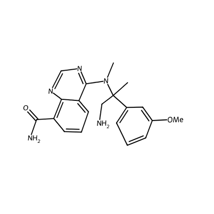 COc1cccc(C(C)(CN)N(C)c2ncnc3c(C(N)=O)cccc23)c1